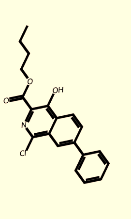 CCCCOC(=O)c1nc(Cl)c2cc(-c3ccccc3)ccc2c1O